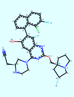 N#CC[C@H]1CN(c2nc(OC[C@@]34CCCN3C[C@H](F)C4)nc3c(F)c(-c4cccc5ccc(F)c(Cl)c45)c(O)cc23)CCN1